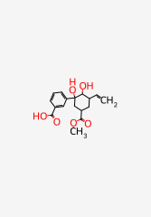 C=CC1CC(C(=O)OC)CC(O)(c2cccc(C(=O)O)c2)C1O